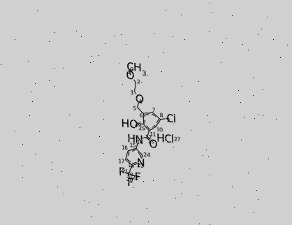 COCCOCc1cc(Cl)cc(C(=O)Nc2ccc(C(F)(F)F)nc2)c1O.Cl